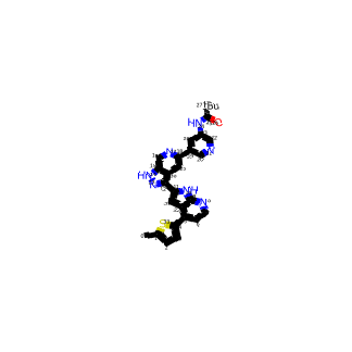 Cc1ccc(-c2ccnc3[nH]c(-c4n[nH]c5cnc(-c6cncc(NC(=O)C(C)(C)C)c6)cc45)cc23)s1